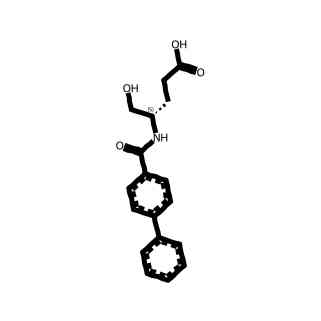 O=C(O)CC[C@@H](CO)NC(=O)c1ccc(-c2ccccc2)cc1